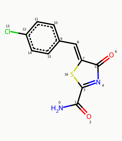 NC(=O)C1=NC(=O)C(=Cc2ccc(Cl)cc2)S1